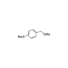 [CH2]SCc1ccc(SC)cc1